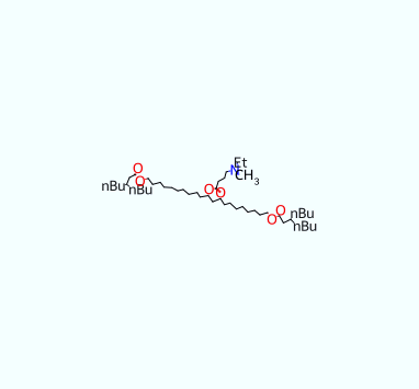 CCCCC(CCCC)CC(=O)OCCCCCCCCCCC(CCCCCCCCCCOC(=O)CC(CCCC)CCCC)OC(=O)CCCN(C)CC